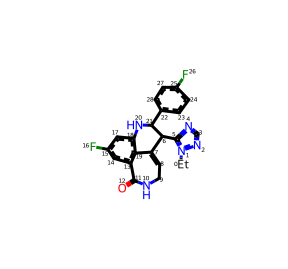 CCn1ncnc1C1C2=CCNC(=O)c3cc(F)cc(c32)NC1c1ccc(F)cc1